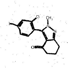 Cn1nc2c(c1-c1ccc(I)cc1Cl)C(=O)CCC2